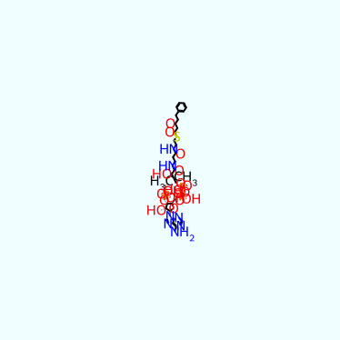 CC(C)(COP(=O)(O)OP(=O)(O)OC[C@H]1O[C@@H](n2cnc3c(N)ncnc32)[C@H](O)[C@@H]1OP(=O)(O)O)[C@@H](O)C(=O)NCCC(=O)NCCSC(=O)CC(=O)CCc1ccccc1